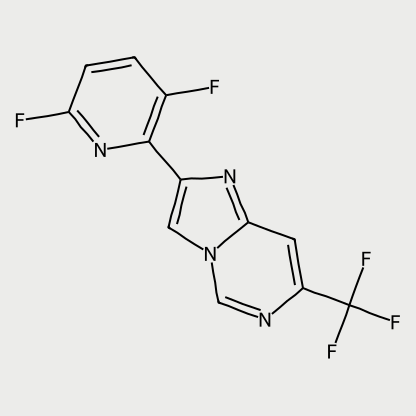 Fc1ccc(F)c(-c2cn3cnc(C(F)(F)F)cc3n2)n1